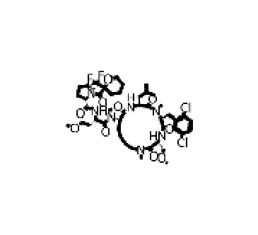 COCC[C@H](NC(=O)[C@@H]1CCCN1C(=O)C1(C(F)(F)F)CCCCO1)C(=O)N(C)[C@H]1CCCCN(C)C(=O)[C@@H](COC)NC(=O)[C@H](Cc2cc(Cl)ccc2Cl)N(C)C(=O)[C@H](CC(C)C)NC1=O